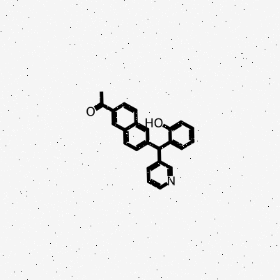 CC(=O)c1ccc2cc(C(c3cccnc3)c3ccccc3O)ccc2c1